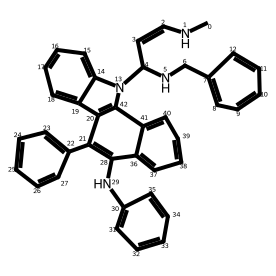 CN/C=C\C(NCc1ccccc1)n1c2ccccc2c2c(-c3ccccc3)c(Nc3ccccc3)c3ccccc3c21